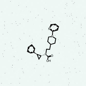 O=C(O)N(CCC1CCN(c2ccccn2)CC1)[C@@H]1C[C@H]1c1ccccc1